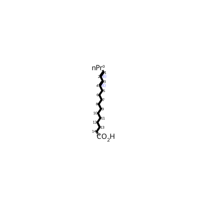 CCC/C=C/C=C/CCCCCCCCCCC(=O)O